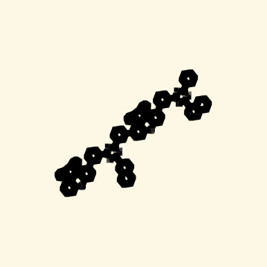 c1ccc(-c2nc(-c3cccc(-c4ccc5c(c4)C4(c6cc(-c7cccc(-c8nc(-c9cccc(-c%10ccc%11c(c%10)C%10(c%12ccccc%12O%11)c%11ccccc%11-c%11ccccc%11%10)c9)nc(-c9ccc%10ccccc%10c9)n8)c7)ccc6O5)c5ccccc5-c5ccccc54)c3)nc(-c3cccc4ccccc34)n2)cc1